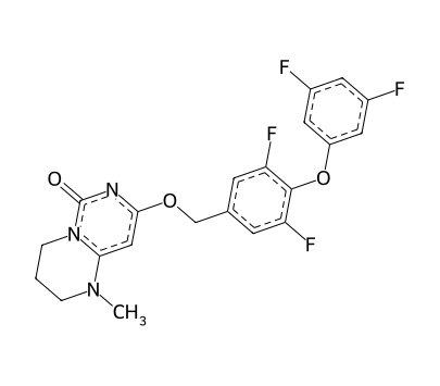 CN1CCCn2c1cc(OCc1cc(F)c(Oc3cc(F)cc(F)c3)c(F)c1)nc2=O